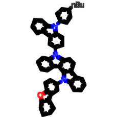 CCCCc1ccc(-n2c3ccccc3c3cc(-n4c5ccccc5c5c4ccc4c6ccccc6n(-c6ccc7oc8ccccc8c7c6)c45)ccc32)cc1